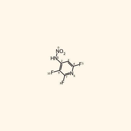 O=[N+]([O-])Nc1cc(F)nc(F)c1F